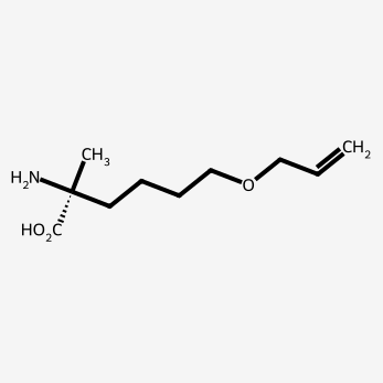 C=CCOCCCC[C@](C)(N)C(=O)O